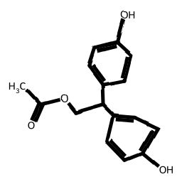 CC(=O)OCC(c1ccc(O)cc1)c1ccc(O)cc1